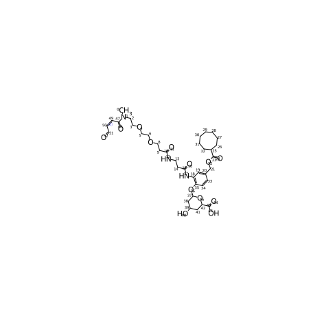 CN(CCOCCOCCC(=O)NCCC(=O)Nc1cc(COC(=O)C2CCCCCCC2)ccc1OC1CC(O)CC(C(=O)O)O1)C(=O)/C=C\C=O